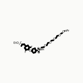 CCCOCCOCCOCCOCCOCCNS(=O)(=O)c1ccc(Oc2c(F)cc(/C=C(\C)C(=O)OCC)cc2F)cc1